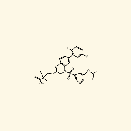 CC(C)(CCC1CN(S(=O)(=O)c2cccc(OC(F)F)c2)c2cc(-c3cc(F)ccc3F)ccc2O1)C(=O)O